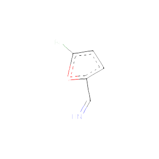 N=Cc1ccc(Br)o1